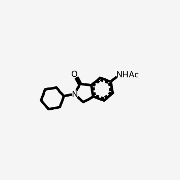 CC(=O)Nc1ccc2c(c1)C(=O)N(C1CCCCC1)C2